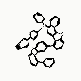 c1ccc(-c2ccc(N(c3ccccc3)c3cc4c(sc5cccc(-c6ccc7oc8cccc(-c9ccccc9)c8c7c6)c54)c4ccccc34)cc2)cc1